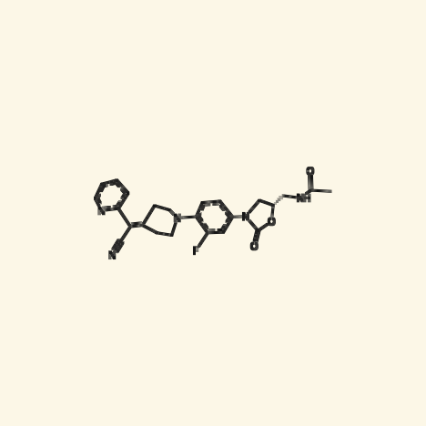 CC(=O)NC[C@H]1CN(c2ccc(N3CCC(=C(C#N)c4ccccn4)CC3)c(F)c2)C(=O)O1